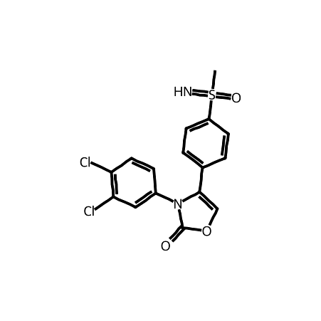 CS(=N)(=O)c1ccc(-c2coc(=O)n2-c2ccc(Cl)c(Cl)c2)cc1